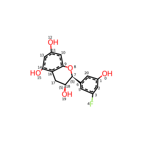 Oc1cc(F)cc([C@@H]2Oc3cc(O)cc(O)c3C[C@@H]2O)c1